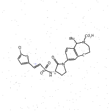 CC(C)(C)C1c2ccc(N3CC[C@H](NS(=O)(=O)/C=C/c4ccc(Cl)s4)C3=O)cc2CCCN1C(=O)O